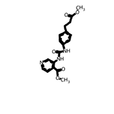 COC(=O)CCc1ccc(NC(=O)Nc2cnccc2C(=O)OC)cc1